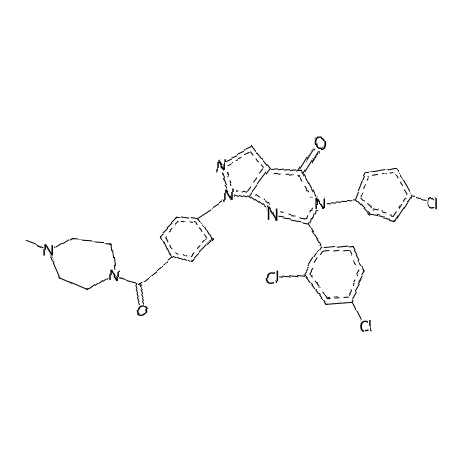 CN1CCN(C(=O)c2ccc(-n3ncc4c(=O)n(-c5ccc(Cl)cc5)c(-c5ccc(Cl)cc5Cl)nc43)cc2)CC1